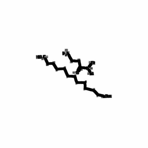 CCCCCCCCCCCCCCCCCCCCCC(=O)O.CCN(CC)C(=O)CCN